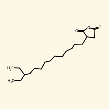 CCC(CC)CCCCCCCCCCCC1CC(=O)OC1=O